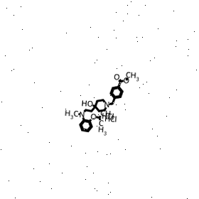 COC(=O)c1ccc(CN2CCC(O)(CCN(C)c3ccccc3OC(C)C)CC2)cc1.Cl.Cl